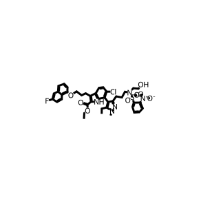 CCOC(=O)c1[nH]c2c(-c3c(CCCN(CCO)S(=O)(=O)c4ccccc4[N+](=O)[O-])nn(C)c3CC)c(Cl)ccc2c1CCCOc1cccc2cc(F)ccc12